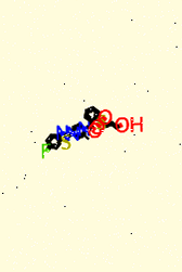 C[C@H]1CN(c2nc3ccc(F)cc3s2)CCN1C(=O)c1ccccc1S(=O)(=O)CCCO